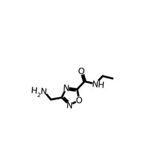 CCNC(=O)c1nc(CN)no1